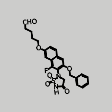 O=CCCCCOc1ccc2cc(OCc3ccccc3)c(N3CC(=O)NS3(=O)=O)c(F)c2c1